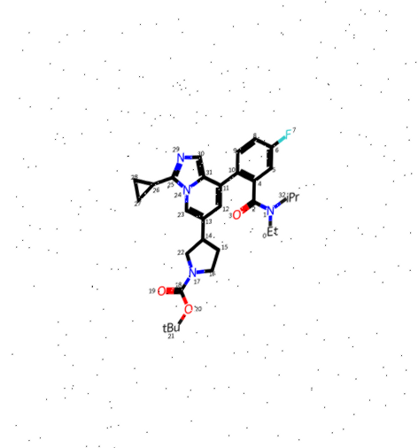 CCN(C(=O)c1cc(F)ccc1-c1cc(C2CCN(C(=O)OC(C)(C)C)C2)cn2c(C3CC3)ncc12)C(C)C